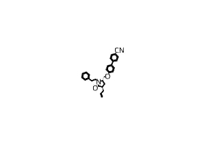 C=CC[C@@H]1C[C@@H](COc2ccc(-c3ccc(C#N)cc3)cc2)N(CCc2ccccc2)C1=O